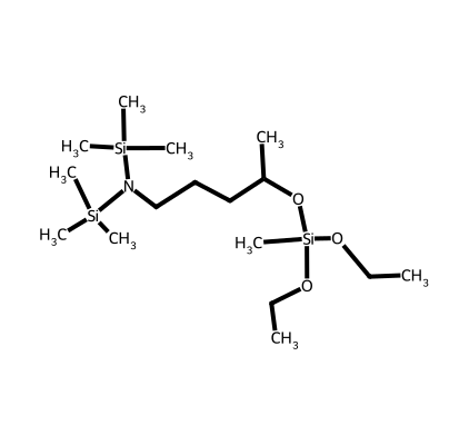 CCO[Si](C)(OCC)OC(C)CCCN([Si](C)(C)C)[Si](C)(C)C